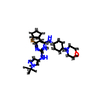 CC(C)(C)n1cc(Nc2nc(N[C@H]3CC[C@H](N4CCOCC4)CC3)c3c4c(sc3n2)CCC4)cn1